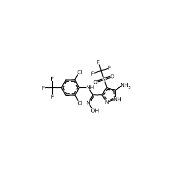 Nc1[nH]nc(C(=NO)Nc2c(Cl)cc(C(F)(F)F)cc2Cl)c1S(=O)(=O)C(F)(F)F